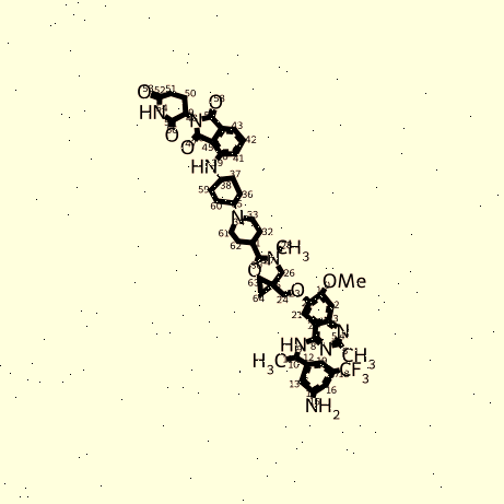 COc1cc2nc(C)nc(NC(C)c3cc(N)cc(C(F)(F)F)c3)c2cc1OCC1(CN(C)C(=O)C2CCN([C@H]3CC[C@@H](Nc4cccc5c4C(=O)N(C4CCC(=O)NC4=O)C5=O)CC3)CC2)CC1